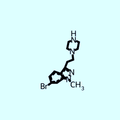 Cn1nc(CCN2CCNCC2)c2ccc(Br)cc21